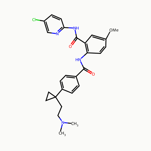 COc1ccc(NC(=O)c2ccc(C3(CCN(C)C)CC3)cc2)c(C(=O)Nc2ccc(Cl)cn2)c1